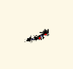 C/C(=C\c1ccc(O[C@@H]2O[C@H](/C(C)=C/COc3ccc(Cl)cc3Cl)[C@@H](O)[C@@H]2O)c(O)c1)C(=O)N[C@@H]1[C@H](O)[C@@H](O)[C@H]2OCO[C@H]2[C@@H]1O